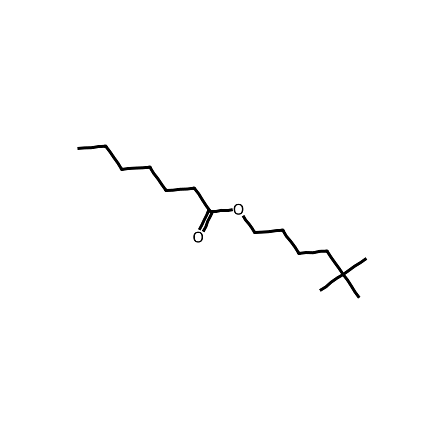 CCCCCCC(=O)OCCCCC(C)(C)C